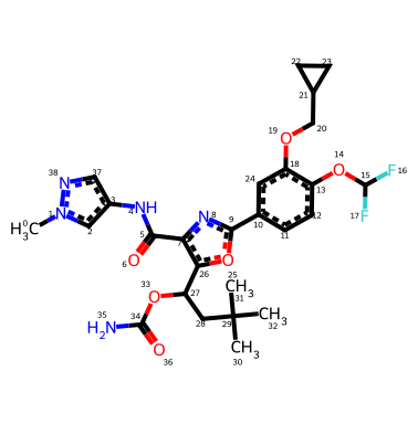 Cn1cc(NC(=O)c2nc(-c3ccc(OC(F)F)c(OCC4CC4)c3)oc2C(CC(C)(C)C)OC(N)=O)cn1